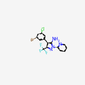 Nc1c(-c2cc(Cl)cc(Br)c2)c(C(F)(F)F)nn1-c1ccccn1